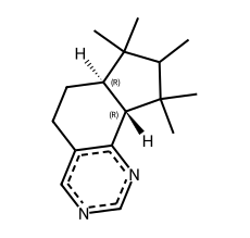 CC1C(C)(C)[C@@H]2CCc3cncnc3[C@H]2C1(C)C